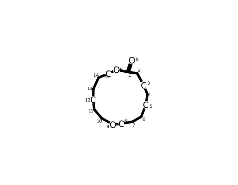 O=C1CCCCCCCOCCCCCCO1